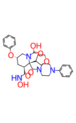 O=C(NO)[C@H]1C[C@H](Oc2ccccc2)CN(C(=O)O)[C@@]1(C(=O)N1CCN(c2ccccc2)CC1)C1CCOC1